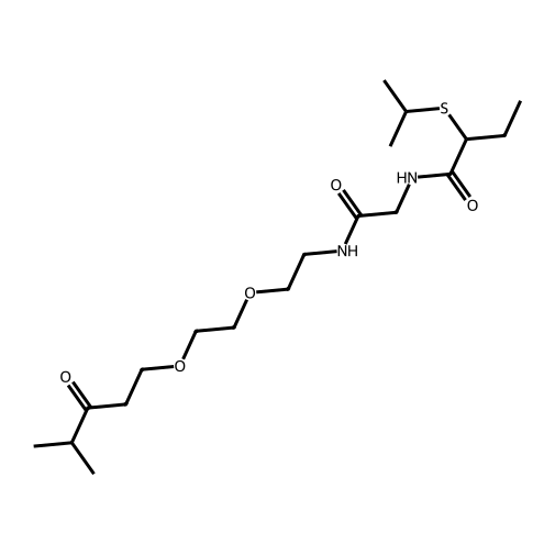 CCC(SC(C)C)C(=O)NCC(=O)NCCOCCOCCC(=O)C(C)C